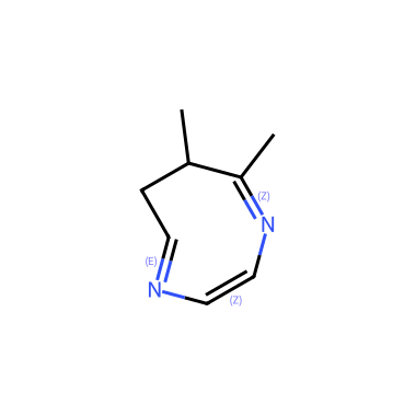 C/C1=N/C=C\N=C\CC1C